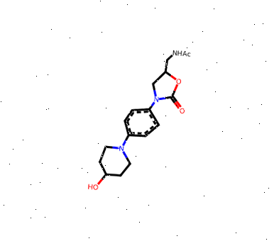 CC(=O)NCC1CN(c2ccc(N3CCC(O)CC3)cc2)C(=O)O1